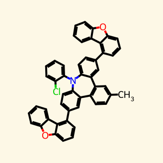 Cc1ccc2c(c1)-c1cc(-c3cccc4oc5ccccc5c34)ccc1N(c1ccccc1Cl)c1ccc(-c3cccc4oc5ccccc5c34)cc1-2